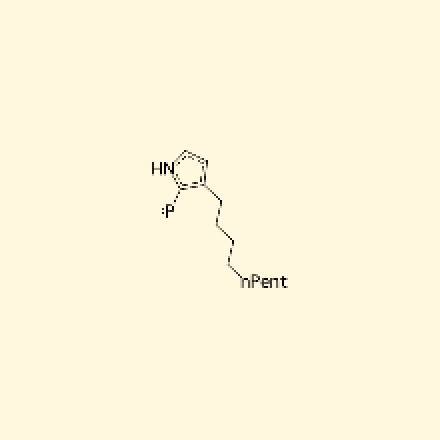 CCCCCCCCCc1cc[nH]c1[P]